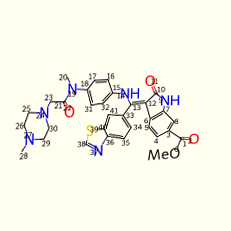 COC(=O)c1ccc2c(c1)NC(=O)/C2=C(\Nc1ccc(N(C)C(=O)CN2CCN(C)CC2)cc1)c1ccc2ncsc2c1